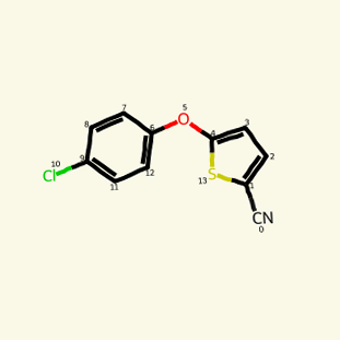 N#Cc1ccc(Oc2ccc(Cl)cc2)s1